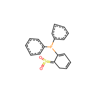 O=S(=O)=C1CC=CC=C1P(c1ccccc1)c1ccccc1